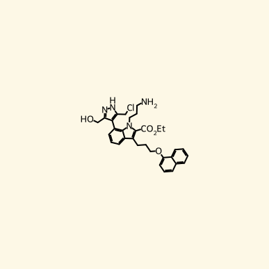 CCOC(=O)c1c(CCCOc2cccc3ccccc23)c2cccc(-c3c(CO)n[nH]c3CCl)c2n1CCCN